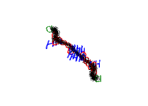 O=C(NCCCCNC(=O)NCCOCCOCCNS(=O)(=O)c1ccc(O[C@@H]2CCc3ccc(Cl)cc32)cc1)NCCOCCOCCNS(=O)(=O)c1ccc(O[C@@H]2CCc3ccc(Cl)cc32)cc1